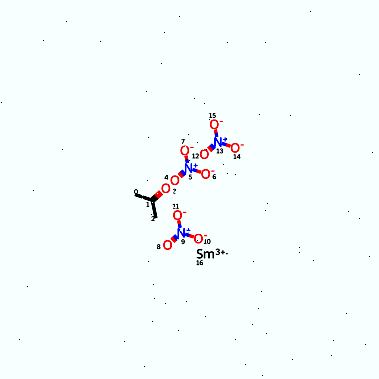 CC(C)=O.O=[N+]([O-])[O-].O=[N+]([O-])[O-].O=[N+]([O-])[O-].[Sm+3]